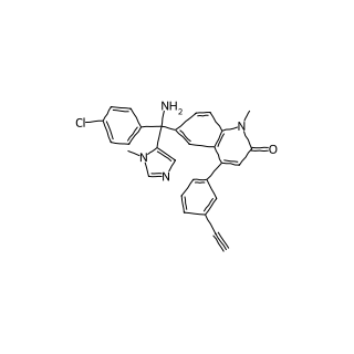 C#Cc1cccc(-c2cc(=O)n(C)c3ccc(C(N)(c4ccc(Cl)cc4)c4cncn4C)cc23)c1